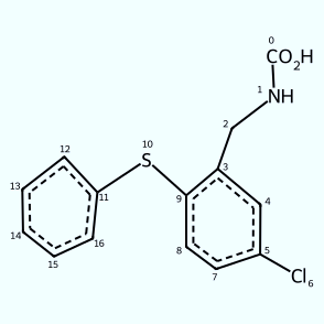 O=C(O)NCc1cc(Cl)ccc1Sc1ccccc1